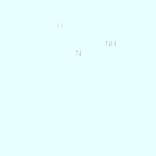 C=C(C)/C=C/CN1CNCC1=O